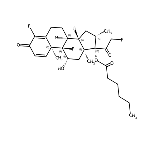 CCCCCC(=O)O[C@@]1(C(=O)CF)[C@@H](C)C[C@H]2[C@@H]3CCC4=C(F)C(=O)C=C[C@]4(C)[C@@]3(F)[C@@H](O)C[C@@]21C